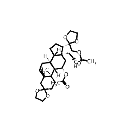 C#CC[C@]12C[C@H](OC(C)=O)[C@H]3[C@@H](CC=C4CC5(CC[C@@]43C)OCCO5)[C@@H]1CC[C@@H]2C1(COC(C)=O)OCCO1